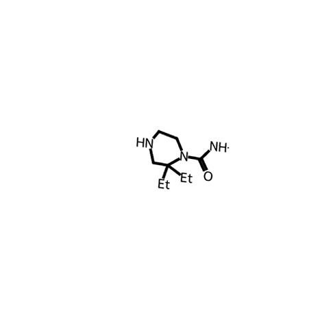 CCC1(CC)CNCCN1C([NH])=O